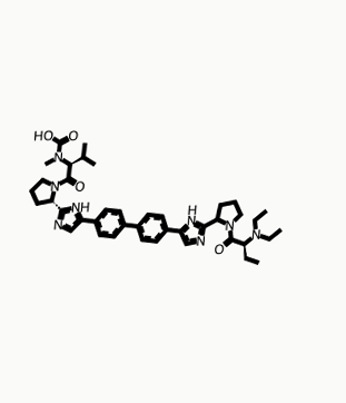 CC[C@@H](C(=O)N1CCCC1c1ncc(-c2ccc(-c3ccc(-c4cnc([C@@H]5CCCN5C(=O)[C@H](C(C)C)N(C)C(=O)O)[nH]4)cc3)cc2)[nH]1)N(CC)CC